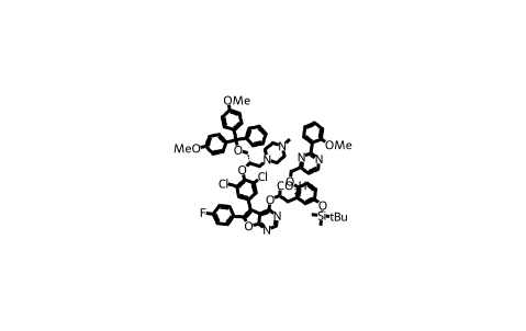 COc1ccc(C(OC[C@H](CN2CCN(C)CC2)Oc2c(Cl)cc(-c3c(-c4ccc(F)cc4)oc4ncnc(OC(Cc5cc(O[Si](C)(C)C(C)(C)C)ccc5OCc5ccnc(-c6ccccc6OC)n5)C(=O)O)c34)cc2Cl)(c2ccccc2)c2ccc(OC)cc2)cc1